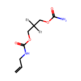 C=CCNC(=O)OCC(CC)(CC)COC(N)=O